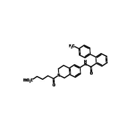 CCOC(=O)CCCC(=O)N1CCc2cc(NC(=O)c3ccccc3-c3ccc(C(F)(F)F)cc3)ccc2C1